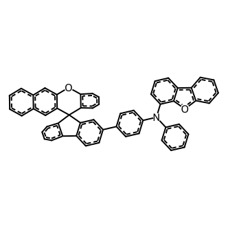 c1ccc(N(c2ccc(-c3ccc4c(c3)C3(c5ccccc5Oc5cc6ccccc6cc53)c3ccccc3-4)cc2)c2cccc3c2oc2ccccc23)cc1